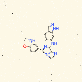 c1cn2cc(-c3ccc4c(c3)NCCO4)nc(Nc3ccc4cn[nH]c4c3)c2n1